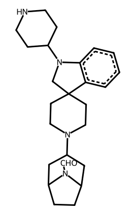 O=CN1C2CCC1CC(N1CCC3(CC1)CN(C1CCNCC1)c1ccccc13)C2